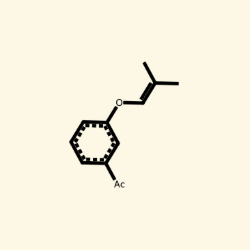 CC(=O)c1cccc(OC=C(C)C)c1